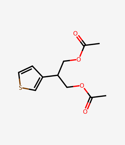 CC(=O)OCC(COC(C)=O)c1ccsc1